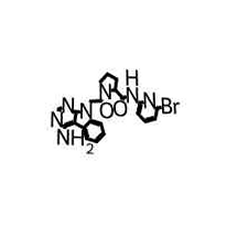 Nc1ncnc2c1c1ccccc1n2CC(=O)N1CCCC1C(=O)Nc1cccc(Br)n1